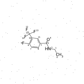 CCNC(=O)c1ccc(F)c(C(F)(F)F)c1